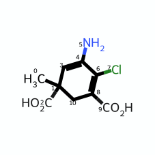 CC1(C(=O)O)C=C(N)C(Cl)=C(C(=O)O)C1